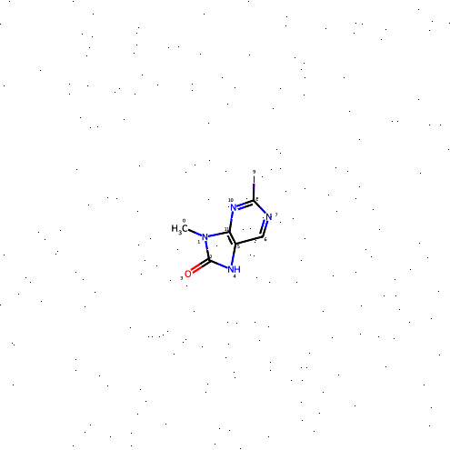 Cn1c(=O)[nH]c2cnc(I)nc21